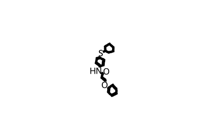 O=C(C=COc1ccccc1)Nc1ccc(SC2CCCCC2)cc1